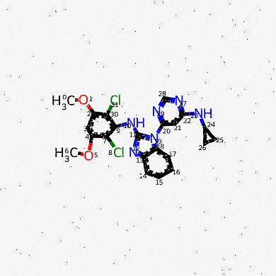 COc1cc(OC)c(Cl)c(Nc2nc3ccccc3n2-c2cc(NC3CC3)ncn2)c1Cl